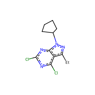 CCc1nn(C2CCCC2)c2nc(Cl)nc(Cl)c12